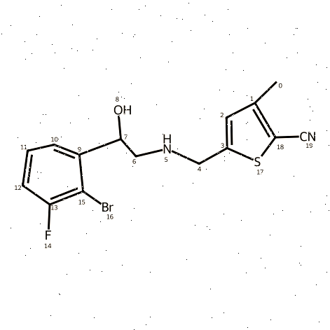 Cc1cc(CNCC(O)c2cccc(F)c2Br)sc1C#N